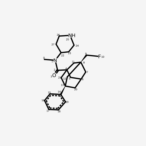 CN(C(=O)C12CC3C[C@@](CF)(C1)C[C@](c1ccccc1)(C3)C2)C1CCNCC1